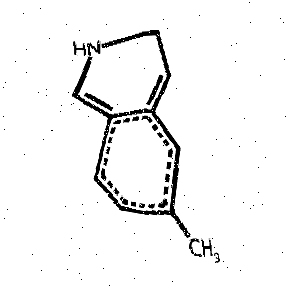 Cc1ccc2c(c1)=CCNC=2